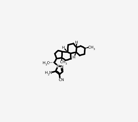 C[C@H]1CC[C@@H]2C3CC[C@@]4(C)C(CCC4[C@@H](C)n4ncc(C#N)c4N)[C@@H]3CC[C@@H]2C1